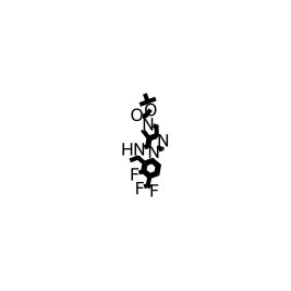 CC(Nc1ncnc2c1CN(C(=O)OC(C)(C)C)C2)c1cccc(C(F)F)c1F